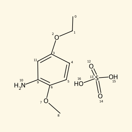 CCOc1ccc(OC)c(N)c1.O=S(=O)(O)O